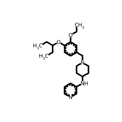 CCOc1cc(CN2CCC(Nc3cccnc3)CC2)ccc1OC(CC)CC